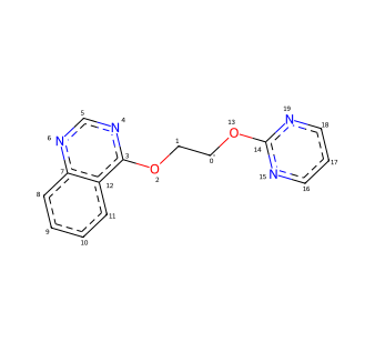 [CH](COc1ncnc2ccccc12)Oc1ncccn1